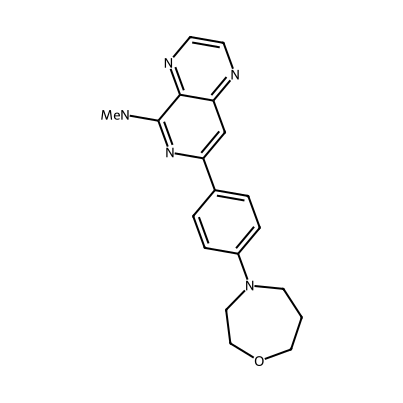 CNc1nc(-c2ccc(N3CCCOCC3)cc2)cc2nccnc12